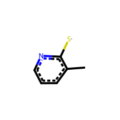 Cc1cccnc1[S]